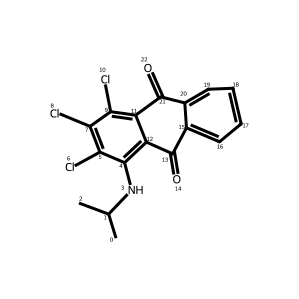 CC(C)Nc1c(Cl)c(Cl)c(Cl)c2c1C(=O)c1ccccc1C2=O